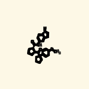 COc1ccc(C2(C(=O)N3CCC[C@@H]3C(=O)Nc3ccc4[nH]ccc4c3)CCCC2)cc1